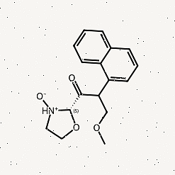 COCC(C(=O)[C@@H]1OCC[NH+]1[O-])c1cccc2ccccc12